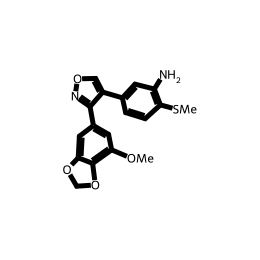 COc1cc(-c2nocc2-c2ccc(SC)c(N)c2)cc2c1OCO2